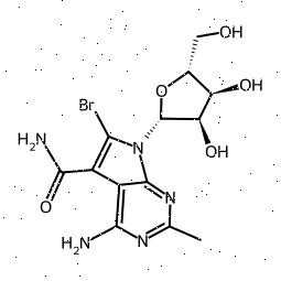 Cc1nc(N)c2c(C(N)=O)c(Br)n([C@@H]3O[C@H](CO)[C@@H](O)[C@H]3O)c2n1